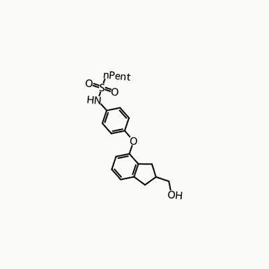 CCCCCS(=O)(=O)Nc1ccc(Oc2cccc3c2CC(CO)C3)cc1